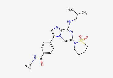 CC(C)CNc1nc(N2CCCCS2(=O)=O)cn2c(-c3ccc(C(=O)NC4CC4)cc3)cnc12